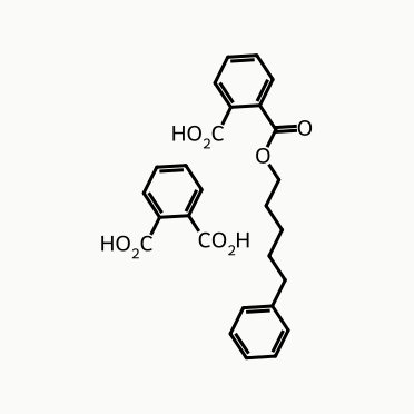 O=C(O)c1ccccc1C(=O)O.O=C(O)c1ccccc1C(=O)OCCCCCc1ccccc1